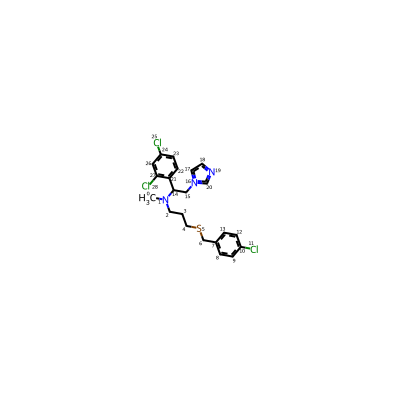 CN(CCCSCc1ccc(Cl)cc1)C(Cn1ccnc1)c1ccc(Cl)cc1Cl